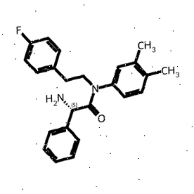 Cc1ccc(N(CCc2ccc(F)cc2)C(=O)[C@@H](N)c2ccccc2)cc1C